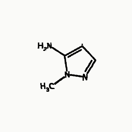 Cn1nc[c]c1N